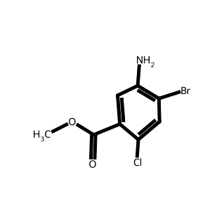 COC(=O)c1cc(N)c(Br)cc1Cl